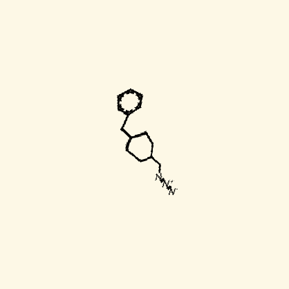 [N-]=[N+]=NCC1CCC(Cc2ccccc2)CC1